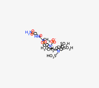 CN(CCCC(=O)NCc1ccc(S(N)(=O)=O)cc1)S(=O)(=O)c1cccc2c3c(ccc12)[N+](CCCS(=O)(=O)[O-])=C(/C=C/C=C/C=C1/N(CCCS(=O)(=O)O)c2ccc4c(S(=O)(=O)O)cc(S(=O)(=O)O)cc4c2C1(C)C)C3(C)C